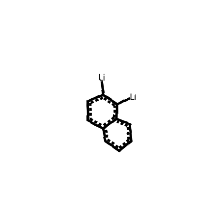 [Li][c]1ccc2ccccc2[c]1[Li]